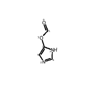 O=[C]Oc1cnc[nH]1